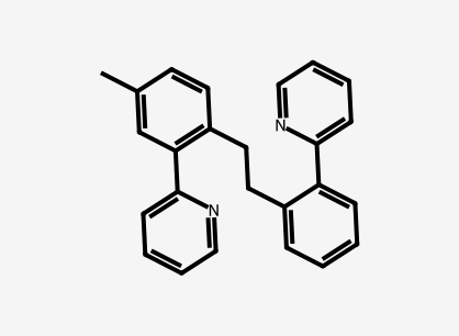 Cc1ccc(CCc2ccccc2-c2ccccn2)c(-c2ccccn2)c1